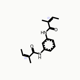 C/C=C(/C)C(=O)Nc1cccc(NC(=O)/C(C)=C\C)c1